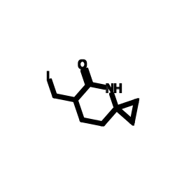 O=C1NC2(CCC1CI)CC2